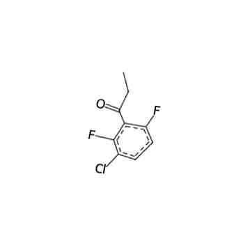 CCC(=O)c1c(F)ccc(Cl)c1F